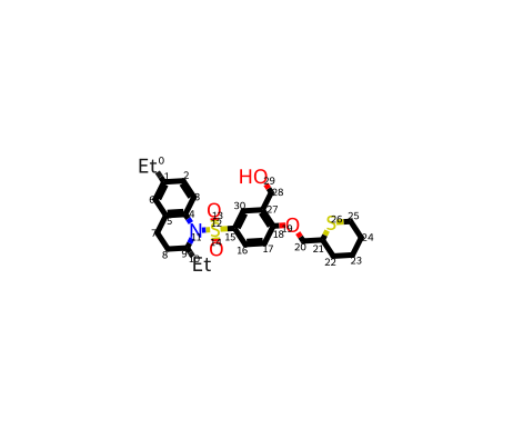 CCc1ccc2c(c1)CCC(CC)N2S(=O)(=O)c1ccc(OCC2CCCCS2)c(CO)c1